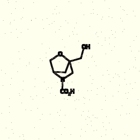 O=C(O)N1CC2(CO)CC1CO2